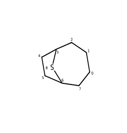 C1CCC2CCC(C1)S2